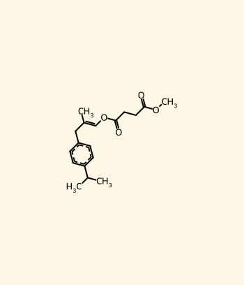 COC(=O)CCC(=O)OC=C(C)Cc1ccc(C(C)C)cc1